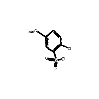 COc1ccc(Cl)c(S(=O)(=O)Cl)c1